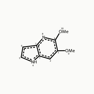 COc1cc2[nH]ccc2nc1OC